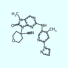 Cc1cc(-n2cccn2)ncc1Nc1ncc2c(n1)n(C1(C#N)CCOCC1)c(=O)n2C